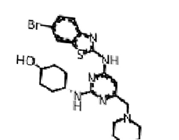 O[C@H]1CC[C@H](Nc2nc(CN3CCCCC3)cc(Nc3nc4ccc(Br)cc4s3)n2)CC1